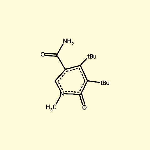 Cn1cc(C(N)=O)c(C(C)(C)C)c(C(C)(C)C)c1=O